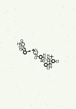 COc1cc(C(=O)N2CCOC3(CC2)C[C@H]3C#Cc2cccc3c2CN([C@@H]2CCC(=O)NC2=O)C3=O)ccc1NC(=O)[C@@H]1N[C@@H](CC(C)(C)C)[C@@]2(CNc3cc(Cl)ccc32)[C@H]1c1cccc(Cl)c1F